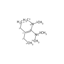 CCC(CC)=C(N(C)C)N(C)C